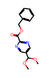 COC(OC)c1cnc(C(=O)OCc2ccccc2)nc1